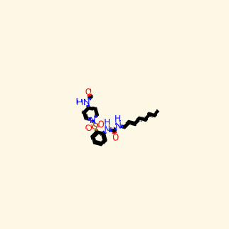 CCCCCCCCNC(=O)Nc1ccccc1S(=O)(=O)N1CCC(NC=O)CC1